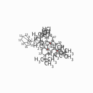 Cl.Cl.[CH2]=[Zr]([C]1=CC(C2C3CC4CC(C3)CC2C4)=CC1C)([c]1ccc(C(C)(C)C)cc1)([c]1ccc(C(C)(C)C)cc1)[c]1c(C(C)(C)C)ccc2c1Cc1cc(C(C)(C)C)ccc1-2